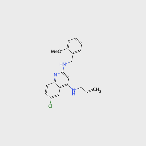 C=CCNc1cc(NCc2ccccc2OC)nc2ccc(Cl)cc12